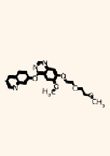 COCCOCCOc1cc2ncnc(Oc3ccc4cccnc4c3)c2cc1OC